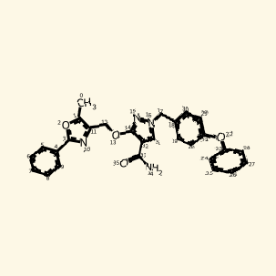 Cc1oc(-c2ccccc2)nc1COc1nn(Cc2ccc(Oc3ccccc3)cc2)cc1C(N)=O